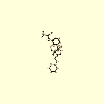 CN(C)C(=O)Oc1cccc2c1CC[C@@H]1[C@H]2CCN1CCN1CCCCC1